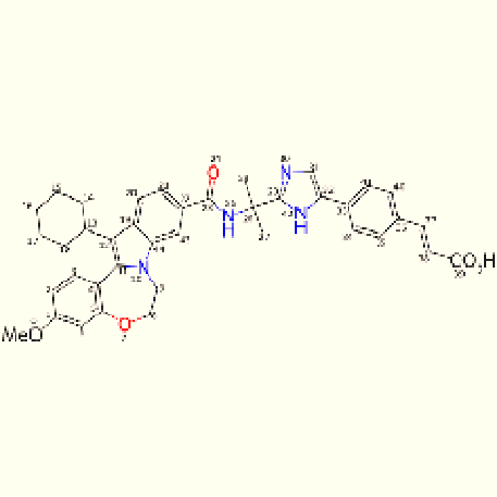 COc1ccc2c(c1)OCCn1c-2c(C2CCCCC2)c2ccc(C(=O)NC(C)(C)c3ncc(-c4ccc(C=CC(=O)O)cc4)[nH]3)cc21